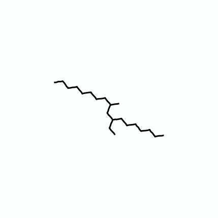 CCCCCCCCC(C)CC(CC)CCCCCCC